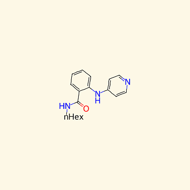 CCCCCCNC(=O)c1ccccc1Nc1ccncc1